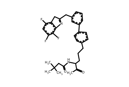 CC(=O)C(CCCc1ccc(-c2cccc(CC3=Nc4c(F)c(F)cc(F)c4C3)c2)cc1)NC(=O)CC(C)(C)C